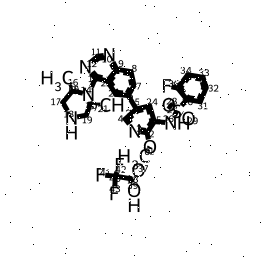 COc1ncc(-c2ccc3ncnc(N4[C@H](C)CNC[C@@H]4C)c3c2)cc1NS(=O)(=O)c1ccccc1F.O=C(O)C(F)(F)F